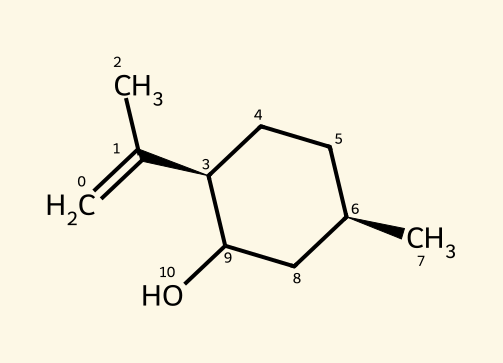 C=C(C)[C@H]1CC[C@@H](C)CC1O